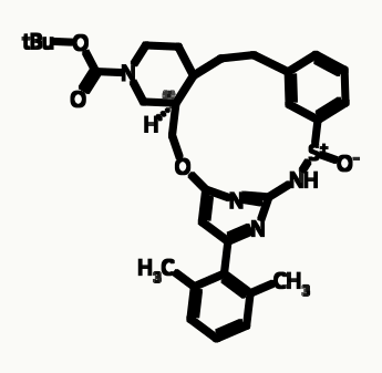 Cc1cccc(C)c1-c1cc2nc(n1)N[S+]([O-])c1cccc(c1)CCC1CCN(C(=O)OC(C)(C)C)C[C@@H]1CO2